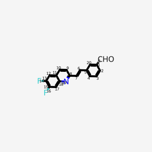 O=Cc1cccc(/C=C/c2ccc3cc(F)c(F)cc3n2)c1